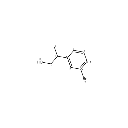 CC(CO)c1ccnc(Br)c1